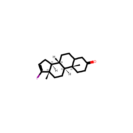 C[C@]12CCC(=O)CC1CC[C@@H]1[C@@H]2CC[C@]2(C)C(I)=CC[C@@H]12